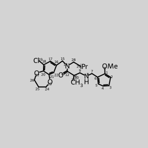 COc1ccccc1CNC[C@@H](C)C(=O)N(Cc1cc(Cl)c2c(c1)OCCCO2)CC(C)C